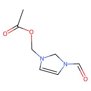 CC(=O)OCN1C=CN(C=O)C1